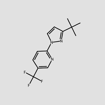 CC(C)(C)c1ccn(-c2ccc(C(F)(F)F)cn2)n1